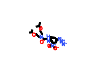 CC(C)OCCN(CCOC(C)C)C(=O)CNc1ccc(N=[N+]=[N-])cc1[N+](=O)[O-]